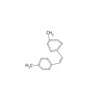 Cc1ccc(/C=C\c2ccc(C)cc2)cc1